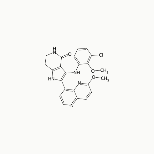 COc1ccc2nccc(-c3[nH]c4c(c3Nc3cccc(Cl)c3OC)C(=O)NCC4)c2n1